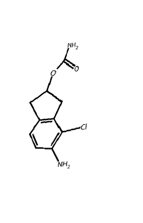 NC(=O)OC1Cc2ccc(N)c(Cl)c2C1